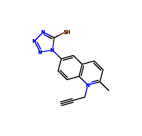 C#CC[n+]1c(C)ccc2cc(-n3nnnc3S)ccc21